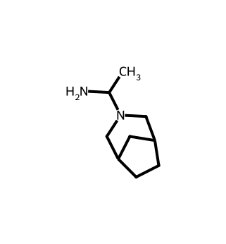 CC(N)N1CC2CCC(C2)C1